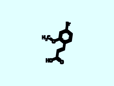 COc1cc(Br)ccc1C=CC(=O)O